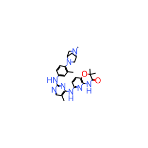 Cc1cc(Nc2ncc(C)c(Nc3ccc4c(n3)NC(=O)C(C)(C)O4)n2)ccc1N1CC2CC1CN2C